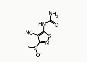 C[S+]([O-])c1nsc(NC(N)=O)c1C#N